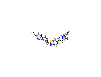 CCCc1cnc(N2CC[C@H](Oc3nc4ccc(C5=CCN(S(=O)(=O)CCC)CC5)cc4s3)C2)nc1